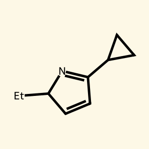 CCC1C=CC(C2CC2)=N1